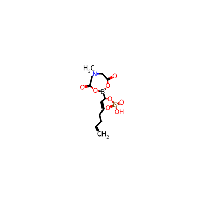 C=CCCC=CC(OS(=O)(=O)O)B1OC(=O)CN(C)CC(=O)O1